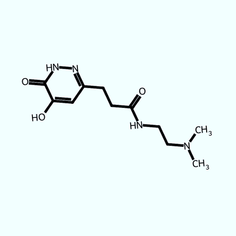 CN(C)CCNC(=O)CCc1cc(O)c(=O)[nH]n1